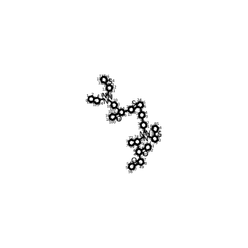 c1ccc2cc(-c3nc(-c4ccc(-c5cc(-c6ccc7c(c6)sc6cccc(-c8ccc(-c9ccc(-c%10nc(-c%11cc(-c%12ccc(-c%13cccc%14c%13oc%13ccccc%13%14)c%13oc%14ccccc%14c%12%13)c%12ccccc%12c%11)nc(-c%11cccc%12sc%13ccccc%13c%11%12)n%10)cc9)cc8)c67)cc6oc7ccccc7c56)cc4)nc(-c4ccc5sc6ccccc6c5c4)n3)ccc2c1